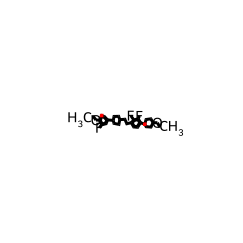 CCOc1ccc(C2CCC(CCc3ccc(C4CCC(OCC)CC4)c(F)c3F)CC2)cc1F